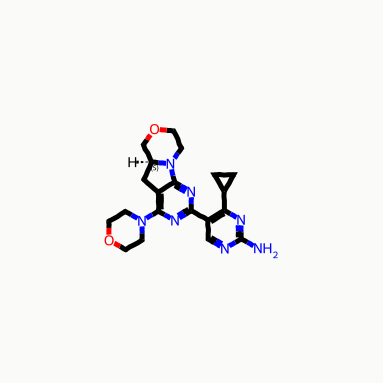 Nc1ncc(-c2nc(N3CCOCC3)c3c(n2)N2CCOC[C@@H]2C3)c(C2CC2)n1